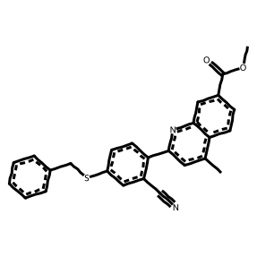 COC(=O)c1ccc2c(C)cc(-c3ccc(SCc4ccccc4)cc3C#N)nc2c1